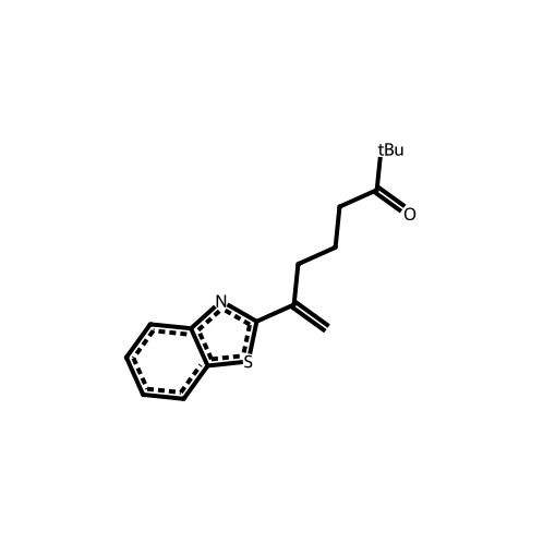 C=C(CCCC(=O)C(C)(C)C)c1nc2ccccc2s1